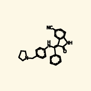 N#Cc1ccc2c(c1)C(=C(Nc1ccc(CN3CCCC3)cc1)c1ccccc1)C(=O)N2